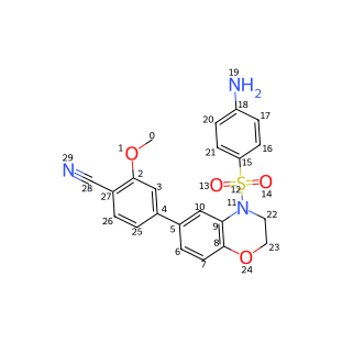 COc1cc(-c2ccc3c(c2)N(S(=O)(=O)c2ccc(N)cc2)CCO3)ccc1C#N